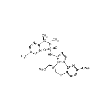 COC[C@@H]1COc2ccc(OC)nc2-c2nnc(NS(=O)(=O)[C@@H](C)[C@H](C)c3ncc(C)cn3)n21